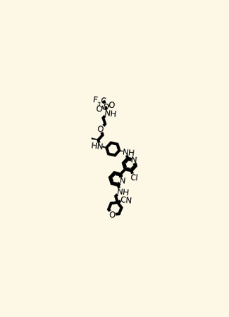 C[C@@H](COCCNS(=O)(=O)C(F)(F)F)N[C@H]1CC[C@H](Nc2cc(-c3cccc(NCC4(C#N)CCOCC4)n3)c(Cl)cn2)CC1